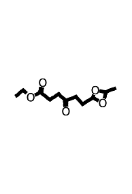 CCOC(=O)CCC(=O)CCC1OC(C)O1